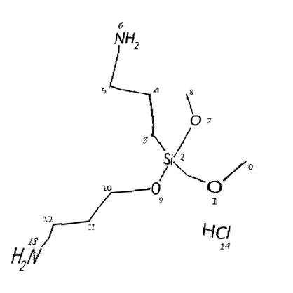 CO[Si](CCCN)(OC)OCCCN.Cl